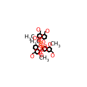 COc1cc(C=O)ccc1OP(Oc1ccc(C=O)cc1OC)Oc1ccccc1C(=O)c1ccccc1OP(Oc1ccc(C=O)cc1OC)Oc1ccc(C=O)cc1OC